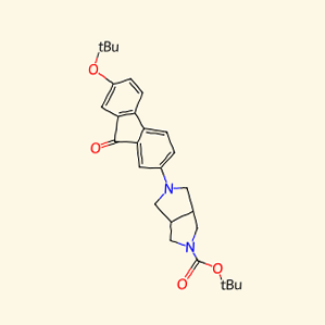 CC(C)(C)OC(=O)N1CC2CN(c3ccc4c(c3)C(=O)c3cc(OC(C)(C)C)ccc3-4)CC2C1